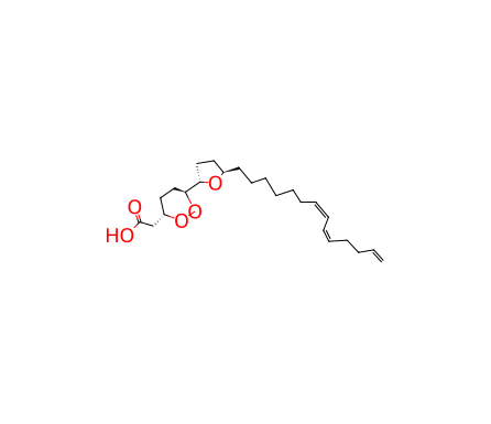 C=CCC/C=C\C=C/CCCCCC[C@@H]1CC[C@@H]([C@@H]2CC[C@@H](CC(=O)O)OO2)O1